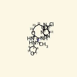 C/C(NC1CCOCC1)=C1\Nc2ncc3c(Cl)nn(c3n2)CCCOC1=N